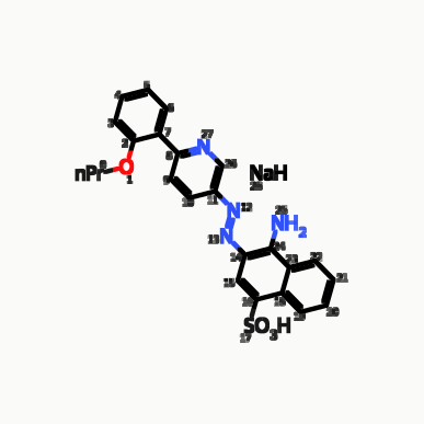 CCCOc1ccccc1-c1ccc(N=Nc2cc(S(=O)(=O)O)c3ccccc3c2N)cn1.[NaH]